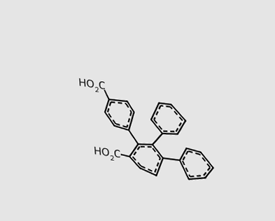 O=C(O)c1ccc(-c2c(C(=O)O)ccc(-c3ccccc3)c2-c2ccccc2)cc1